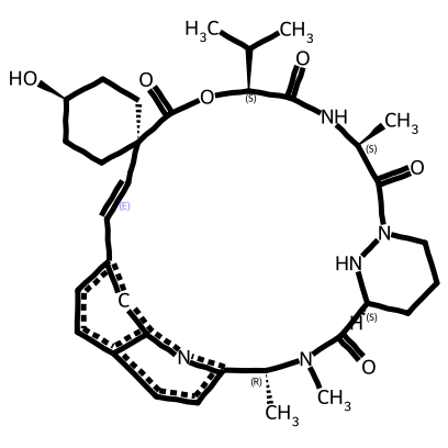 CC(C)[C@@H]1OC(=O)[C@]2(/C=C/c3ccc4ccc(nc4c3)[C@@H](C)N(C)C(=O)[C@@H]3CCCN(N3)C(=O)[C@H](C)NC1=O)CC[C@H](O)CC2